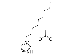 CC(=O)[O-].CCCCCCCCC[n+]1cc[nH]c1